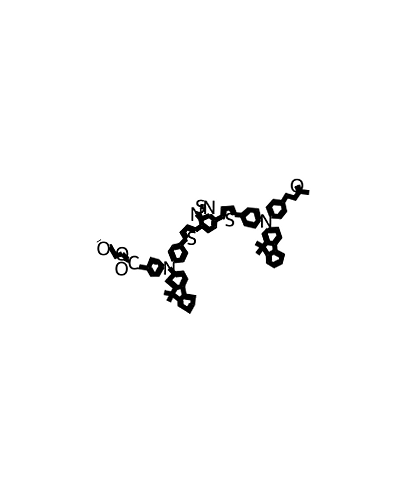 COCCOC(=O)CCc1ccc(N(c2ccc(-c3ccc(-c4ccc(-c5ccc(-c6ccc(N(c7ccc(CCC(C)=O)cc7)c7ccc8c(c7)C(C)(C)c7ccccc7-8)cc6)s5)c5nsnc45)s3)cc2)c2ccc3c(c2)C(C)(C)c2ccccc2-3)cc1